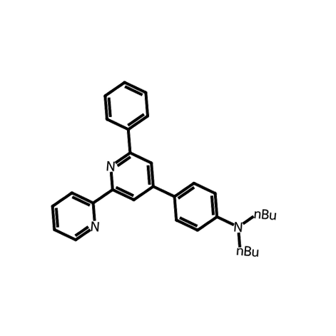 CCCCN(CCCC)c1ccc(-c2cc(-c3ccccc3)nc(-c3ccccn3)c2)cc1